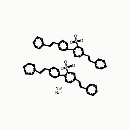 O=S(=O)([O-])c1cc(/C=C/c2ccccc2)ccc1-c1ccc(/C=C/c2ccccc2)cc1.O=S(=O)([O-])c1cc(/C=C/c2ccccc2)ccc1-c1ccc(/C=C/c2ccccc2)cc1.[Na+].[Na+]